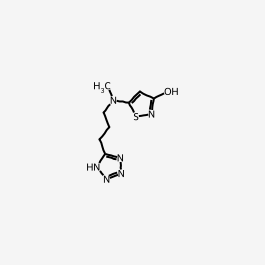 CN(CCCc1nnn[nH]1)c1cc(O)ns1